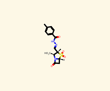 Cc1ccc(C(=O)N/N=C/[C@@]2(C)[C@H](C(=O)O)N3C(=O)C[C@H]3S2(=O)=O)cc1